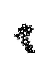 CC(C)(C)OC(=O)N1CCC(/C=C/c2c(C3CC3)nnn2-c2c(Cl)cccc2Cl)CC1